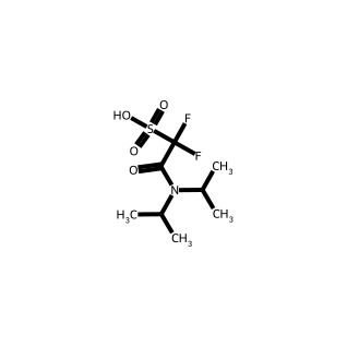 CC(C)N(C(=O)C(F)(F)S(=O)(=O)O)C(C)C